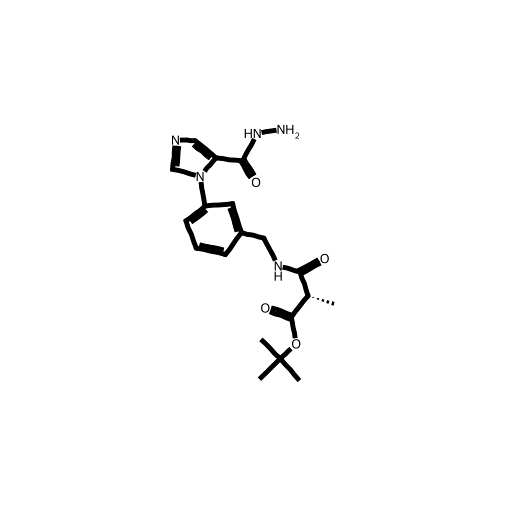 C[C@@H](C(=O)NCc1cccc(-n2cncc2C(=O)NN)c1)C(=O)OC(C)(C)C